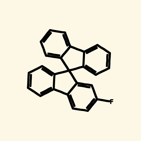 Fc1ccc2c(c1)C1(c3ccccc3-c3ccccc31)c1ccccc1-2